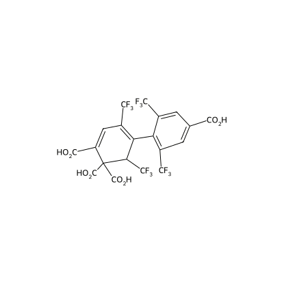 O=C(O)C1=CC(C(F)(F)F)=C(c2c(C(F)(F)F)cc(C(=O)O)cc2C(F)(F)F)C(C(F)(F)F)C1(C(=O)O)C(=O)O